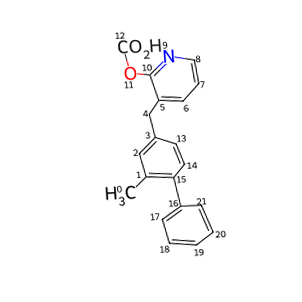 Cc1cc(Cc2cccnc2OC(=O)O)ccc1-c1ccccc1